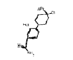 CCCC1(C#N)CCC(c2ccc(C(=N)N)cc2)CC1.Cl